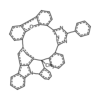 CC12c3ccccc3-c3nc(-c4ccccc4)nc(n3)-c3cccc4c3oc3c(cccc34)-c3cc1c1c(c3)c3ccccc3n1-c1ccccc12